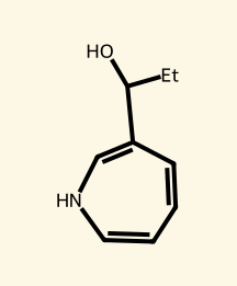 CCC(O)C1=CNC=CC=C1